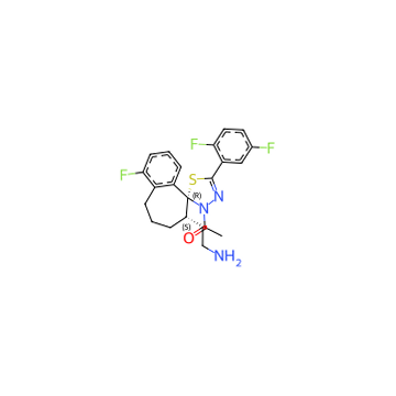 CC(=O)N1N=C(c2cc(F)ccc2F)S[C@]12c1cccc(F)c1CCC[C@H]2CCN